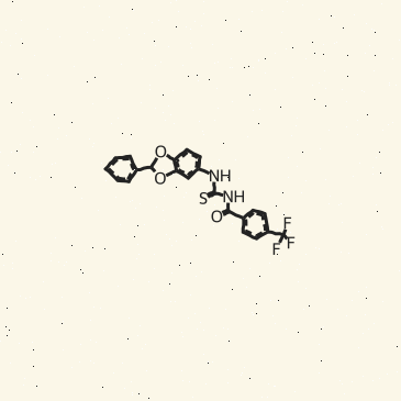 O=C(NC(=S)Nc1ccc2c(c1)OC(c1ccccc1)O2)c1ccc(C(F)(F)F)cc1